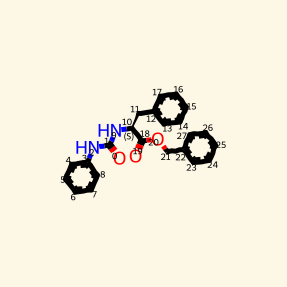 O=C(Nc1ccccc1)N[C@@H](Cc1ccccc1)C(=O)OCc1ccccc1